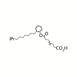 CC(C)CCCCCCCc1ccccc1OC(=O)CCSCCC(=O)O